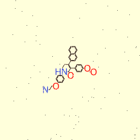 CC/C(=C(\C(=O)Nc1ccc(OCCN(C)C)cc1)c1ccc(OCOC)cc1)c1ccc2ccccc2c1